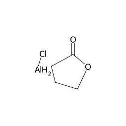 O=C1CCCO1.[AlH2][Cl]